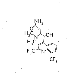 CN(C)C(CC(N)=O)C(O)c1cc(C(F)(F)F)nc2c(C(F)(F)F)cccc12